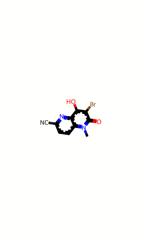 Cn1c(=O)c(Br)c(O)c2nc(C#N)ccc21